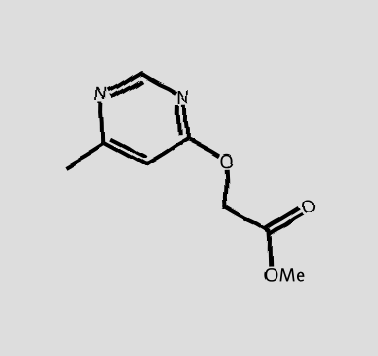 COC(=O)COc1cc(C)ncn1